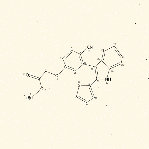 CC(C)(C)OC(=O)COc1ccc(C#N)c(-c2c(-c3cccs3)[nH]c3ccccc23)c1